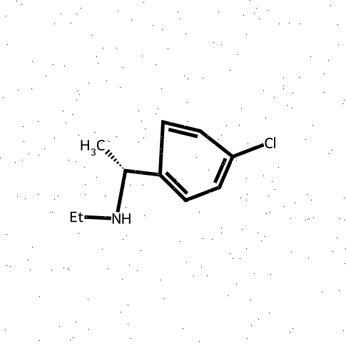 CCN[C@H](C)c1ccc(Cl)cc1